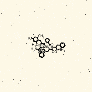 CCCCCCCCCCC(N)C(=O)NC(Cc1c(C)cc(O)cc1C)C(=O)N1CCCC1C(=O)NC(Cc1c[nH]c2ccccc12)C(=O)NC(Cc1ccccc1)C(N)=O